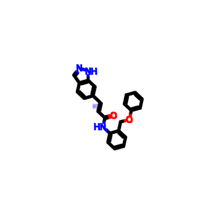 O=C(/C=C/c1ccc2cn[nH]c2c1)Nc1ccccc1COc1ccccc1